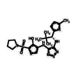 Cc1ccc([C@H](Nc2nsnc2Nc2csc(S(=O)(=O)N3CCCC3)c2O)C(C)(C)C)s1